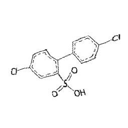 O=S(=O)(O)c1cc(Cl)ccc1-c1ccc(Cl)cc1